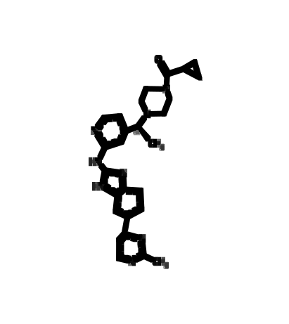 Cc1nccc(-c2ccc3nc(Nc4cc([C@H](C)N5CCN(C(=O)C6CC6)CC5)ccn4)[nH]c3c2)n1